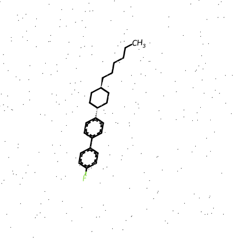 CCCCCC[C@H]1CC[C@H](c2ccc(-c3ccc(F)cc3)cc2)CC1